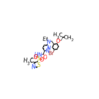 C=C(C)COc1ccc(Br)cc1CN(CC)c1ccc(C(=O)NS(=O)(=O)c2scnc2C)nn1